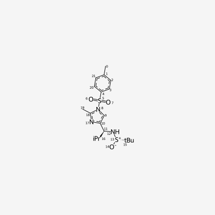 Cc1ccc(S(=O)(=O)n2cc([C@@H](N[S@@+]([O-])C(C)(C)C)C(C)C)nc2C)cc1